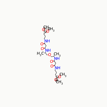 CO[SiH](CCCNC(=O)CC(=O)NC(C)COCC(C)NC(=O)CC(=O)NCCC[SiH](OC)OC)OC